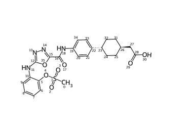 CS(=O)(=O)Oc1ccccc1Nc1nnc(C(=O)Nc2ccc([C@H]3CC[C@H](CC(=O)O)CC3)cc2)o1